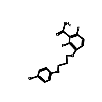 NC(=O)c1c(F)ccc(OCCCOc2ccc(Cl)cc2)c1F